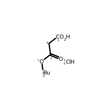 CCC(C)OC(=O)CC(=O)O.Cl